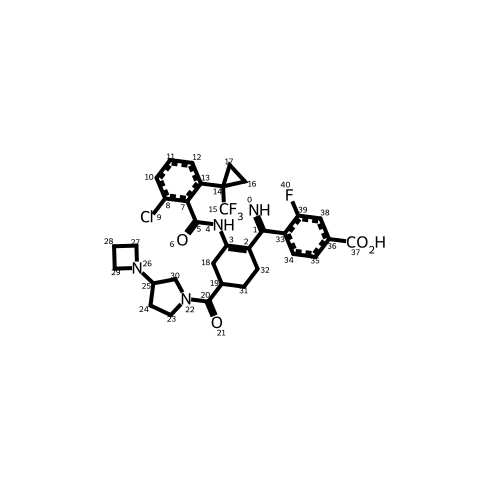 N=C(C1=C(NC(=O)c2c(Cl)cccc2C2(C(F)(F)F)CC2)CC(C(=O)N2CCC(N3CCC3)C2)CC1)c1ccc(C(=O)O)cc1F